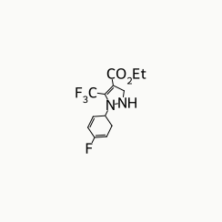 CCOC(=O)C1=C(C(F)(F)F)N(C2C=CC(F)=CC2)NC1